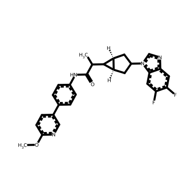 COc1ccc(-c2ccc(NC(=O)C(C)C3[C@H]4CC(n5cnc6cc(F)c(F)cc65)C[C@@H]34)cc2)cn1